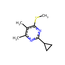 CSc1nc(C2CC2)nc(C)c1C